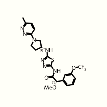 CO[C@H](C(=O)Nc1nnc(N[C@@H]2CCN(c3ccc(C)nn3)C2)s1)c1cccc(OC(F)(F)F)c1